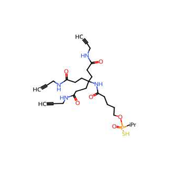 C#CCNC(=O)CCC(CCC(=O)NCC#C)(CCC(=O)NCC#C)NC(=O)CCCCOP(=O)(S)C(C)C